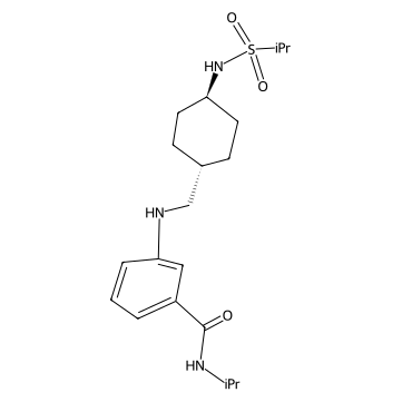 CC(C)NC(=O)c1cccc(NC[C@H]2CC[C@H](NS(=O)(=O)C(C)C)CC2)c1